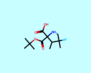 CC(C(C)(C)F)C(N)(C(=O)O)C(=O)OC(C)(C)C